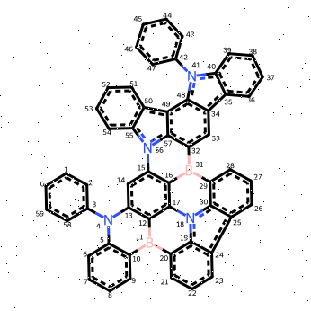 c1ccc(N2c3ccccc3B3c4c2cc2c5c4-n4c6c3cccc6c3cccc(c34)B5c3cc4c5ccccc5n(-c5ccccc5)c4c4c5ccccc5n-2c34)cc1